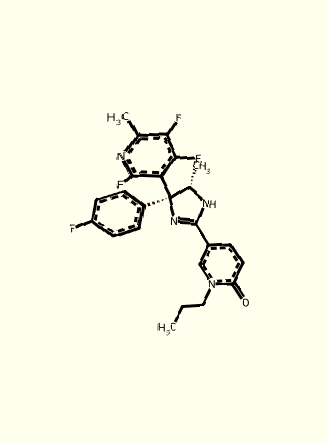 CCCn1cc(C2=N[C@@](c3ccc(F)cc3)(c3c(F)nc(C)c(F)c3F)[C@H](C)N2)ccc1=O